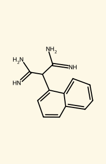 N=C(N)C(C(=N)N)c1cccc2ccccc12